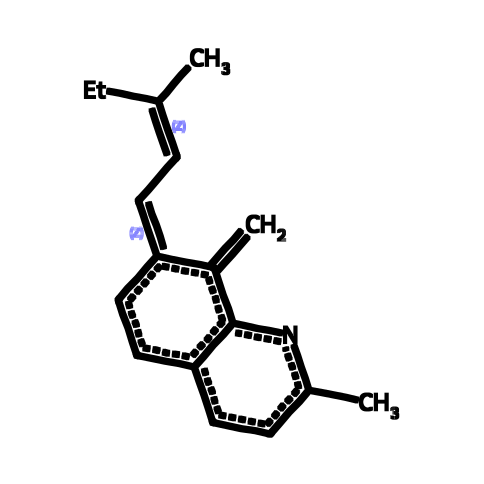 C=c1/c(=C\C=C(\C)CC)ccc2ccc(C)nc12